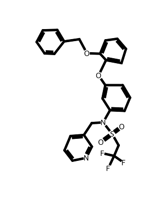 O=S(=O)(CC(F)(F)F)N(Cc1cccnc1)c1cccc(Oc2ccccc2OCc2ccccc2)c1